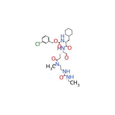 CCNC(=O)NCCN(C)C(=O)CC[C@@H](C=O)NC(=O)[C@H](CC1CCCCC1)NC(=O)OCc1cccc(Cl)c1